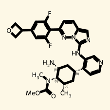 COC(=O)N(C)[C@@H]1[C@H](N)C[C@H](c2ccncc2Nc2ncc3ccc(-c4c(F)cc(C5COC5)cc4F)nn23)C[C@@H]1C